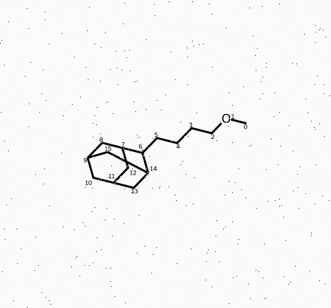 COCCCC[C]1C2CC3CC(C2)CC1C3